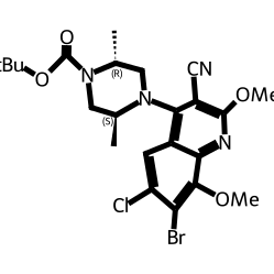 COc1nc2c(OC)c(Br)c(Cl)cc2c(N2C[C@@H](C)N(C(=O)OC(C)(C)C)C[C@@H]2C)c1C#N